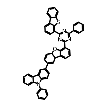 C1=CC2Oc3c(-c4nc(-c5ccccc5)nc(-c5cccc6c5sc5ccccc56)n4)cccc3C2C=C1c1ccc2c(c1)c1ccccc1n2-c1ccccc1